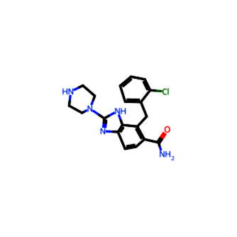 NC(=O)c1ccc2nc(N3CCNCC3)[nH]c2c1Cc1ccccc1Cl